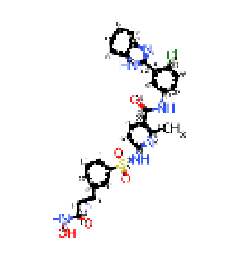 Cc1nc(NS(=O)(=O)c2cccc(/C=C/C(=O)NO)c2)ccc1C(=O)Nc1ccc(Cl)c(-c2nc3ccccc3[nH]2)c1